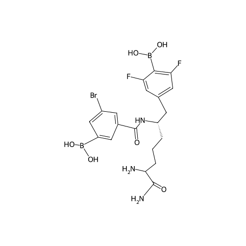 NC(=O)C(N)CCC[C@@H](Cc1cc(F)c(B(O)O)c(F)c1)NC(=O)c1cc(Br)cc(B(O)O)c1